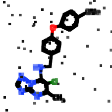 COc1ccc(Oc2ccc(CNc3c(Cl)c(C)nc4ncnn34)cc2)cc1